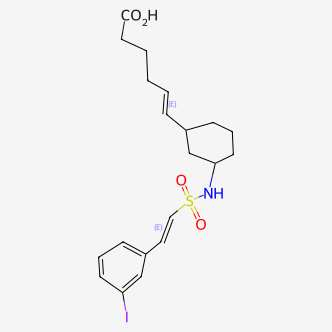 O=C(O)CCC/C=C/C1CCCC(NS(=O)(=O)/C=C/c2cccc(I)c2)C1